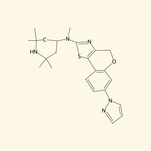 CN(c1nc2c(s1)-c1ccc(-n3cccn3)cc1OC2)C1CC(C)(C)NC(C)(C)C1